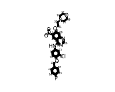 O=[N+]([O-])c1cc2c(Nc3ccc(OCc4ccc(F)cc4)c(Cl)c3)ncnc2cc1OCCN1CCOCC1